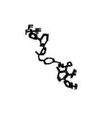 CC(CC1CCC(CN2Cc3ccc(O)c(F)c3C2=O)CC1)Oc1cccc(OC(F)(F)F)c1